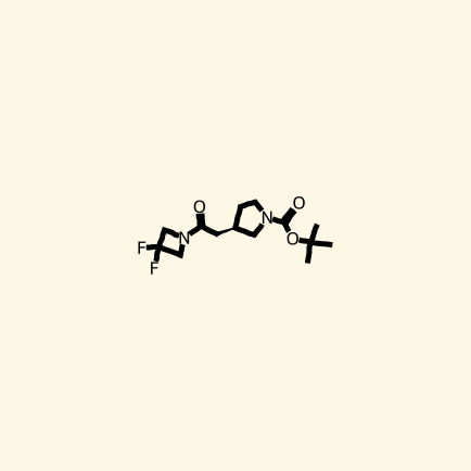 CC(C)(C)OC(=O)N1CC[C@H](CC(=O)N2CC(F)(F)C2)C1